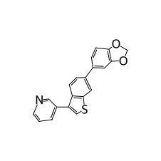 c1cncc(-c2csc3cc(-c4ccc5c(c4)OCO5)ccc23)c1